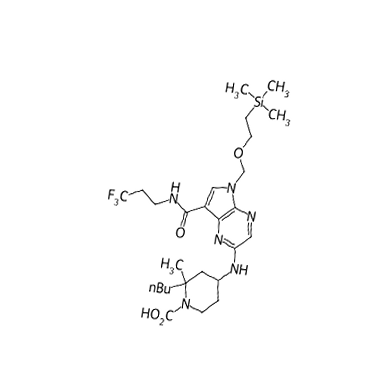 CCCCC1(C)CC(Nc2cnc3c(n2)c(C(=O)NCCC(F)(F)F)cn3COCC[Si](C)(C)C)CCN1C(=O)O